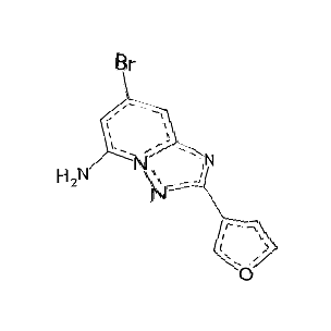 Nc1cc(Br)cc2nc(-c3ccoc3)nn12